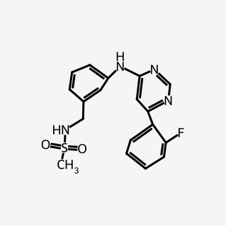 CS(=O)(=O)NCc1cccc(Nc2cc(-c3ccccc3F)ncn2)c1